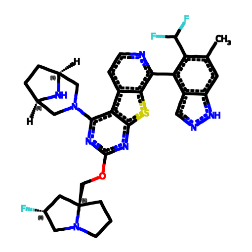 Cc1cc2[nH]ncc2c(-c2nccc3c2sc2nc(OC[C@@]45CCCN4C[C@H](F)C5)nc(N4C[C@H]5CC[C@@H](C4)N5)c23)c1C(F)F